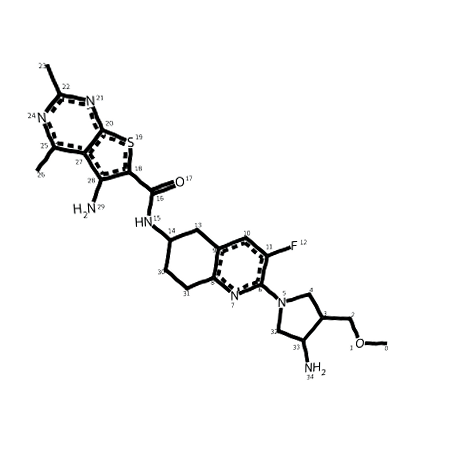 COCC1CN(c2nc3c(cc2F)CC(NC(=O)c2sc4nc(C)nc(C)c4c2N)CC3)CC1N